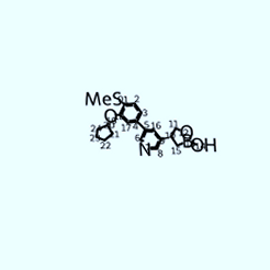 CSc1ccc(-c2cncc([C@H]3COB(O)C3)c2)cc1OC1CCCC1